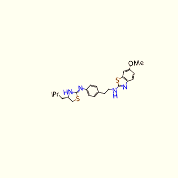 COc1ccc2nc(NCCc3ccc(/N=C4/N[C@H](CC(C)C)CS4)cc3)sc2c1